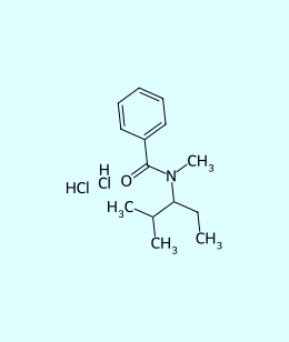 CCC(C(C)C)N(C)C(=O)c1ccccc1.Cl.Cl